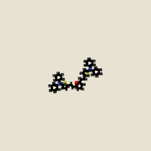 C1=C(/C=C/c2ccc(N(c3ccccc3)c3ccccc3)s2)OC(/C=C/c2ccc(N(c3ccccc3)c3ccccc3)s2)=CC1